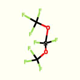 FC(F)(F)O[Si](F)(F)OC(F)(F)F